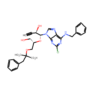 C#C[C@@H](O)[C@@H](O[C@@H](CO)COC(Cc1ccccc1)(C(=O)O)C(=O)O)n1cnc2c(NCc3ccccc3)nc(Cl)nc21